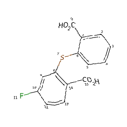 O=C(O)c1ccccc1Sc1cc(F)ccc1C(=O)O